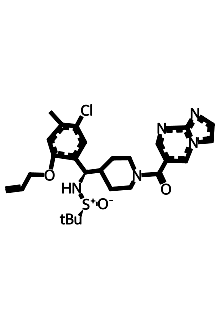 C=CCOc1cc(C)c(Cl)cc1[C@H](N[S@@+]([O-])C(C)(C)C)C1CCN(C(=O)c2cnc3nccn3c2)CC1